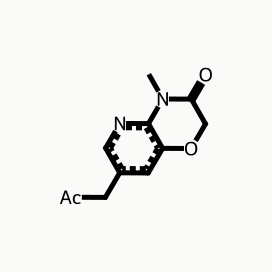 CC(=O)Cc1cnc2c(c1)OCC(=O)N2C